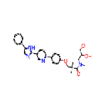 CN(CC(O)CO)C(=O)C(C)(C)COc1ccc(-c2ccc(-c3ncc(-c4ccccc4)[nH]3)cn2)cc1